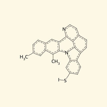 Cc1ccc2cc3c4nccc5ccc6c7ccc(SI)cc7n(c3c(C)c2c1)c6c54